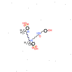 CC1(C)C(/C=C/C=C/C=C2\N(CCCCCC(=O)NCCc3ccc(O)cc3)c3ccc(S(=O)(=O)O)cc3C2(C)C)=Nc2ccc(S(=O)(=O)O)cc21